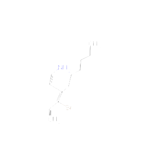 C=C/C(Br)=C(\C=C/N)CCCCCC